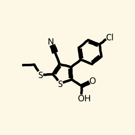 CCSc1sc(C(=O)O)c(-c2ccc(Cl)cc2)c1C#N